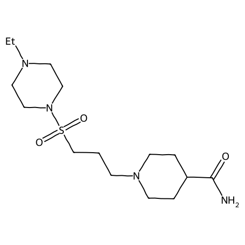 CCN1CCN(S(=O)(=O)CCCN2CCC(C(N)=O)CC2)CC1